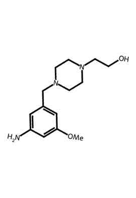 COc1cc(N)cc(CN2CCN(CCO)CC2)c1